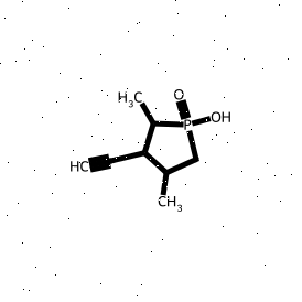 C#CC1C(C)CP(=O)(O)C1C